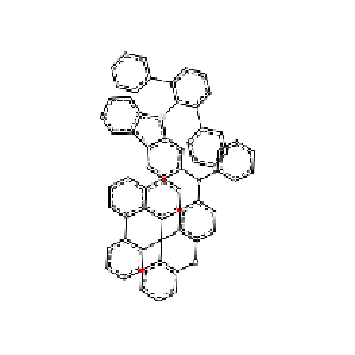 c1ccc(-c2cccc(-c3ccccc3)c2-n2c3ccccc3c3ccc(N(c4ccccc4)c4ccc5c(c4)C4(c6ccccc6O5)c5ccccc5-c5cccc6cccc4c56)cc32)cc1